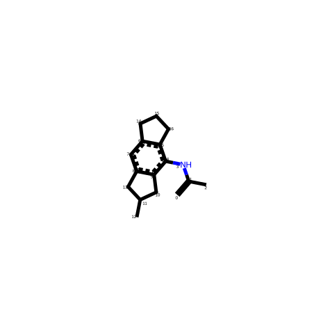 C=C(C)Nc1c2c(cc3c1CC(C)C3)CCC2